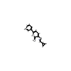 O=c1oc(-c2cccnc2)ccc1/N=C/C1CC1